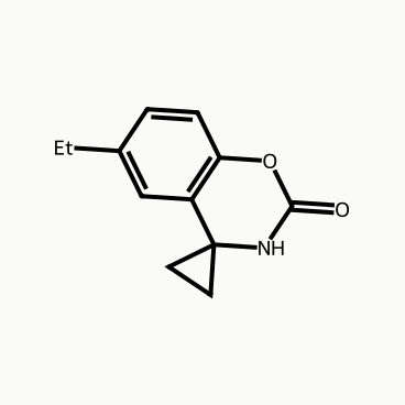 CCc1ccc2c(c1)C1(CC1)NC(=O)O2